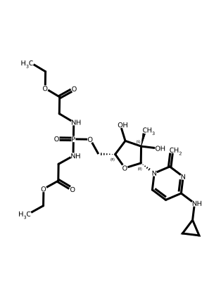 C=C1N=C(NC2CC2)C=CN1[C@@H]1O[C@H](COP(=O)(NCC(=O)OCC)NCC(=O)OCC)C(O)[C@]1(C)O